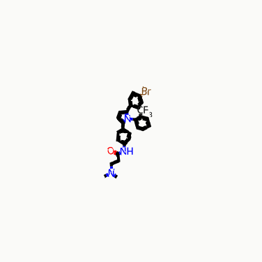 CN(C)CCC(=O)Nc1ccc(-c2ccc(-c3ccc(Br)cc3)n2-c2ccccc2C(F)(F)F)cc1